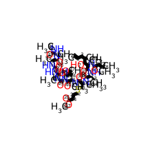 C/C=C/C[C@@H](C)[C@@H](O)[C@@H](C(=O)N[C@@H](CC)C(=O)N(C)[C@@H](CSCCCC(=O)OC)C(=O)N(C)[C@@H](CC(C)(C)O)C(=O)NC(=O)N(C)C(=O)NC(=O)N[C@@H](C)C(=O)N(C)C(=O)NC)N(C)C(=O)CC(C)C